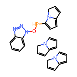 C1=Cc2ccc(POn3nnc4ccccc43)n2C1.C1=Cc2cccn2C1.C1=Cc2cccn2C1